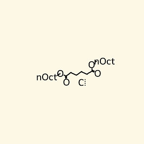 CCCCCCCCOC(=O)CCCCC(=O)OCCCCCCCC.[C]